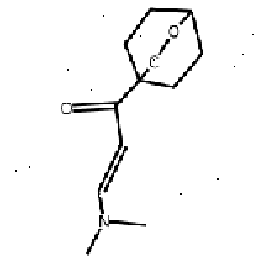 CN(C)/C=C/C(=O)C12CCC(CC1)OC2